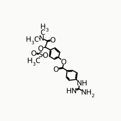 CN(C)C(=O)C(OS(C)(=O)=O)c1ccc(OC(=O)c2ccc(NC(=N)N)cc2)cc1